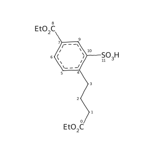 CCOC(=O)CCCc1ccc(C(=O)OCC)cc1S(=O)(=O)O